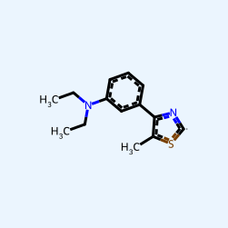 CCN(CC)c1cccc(-c2n[c]sc2C)c1